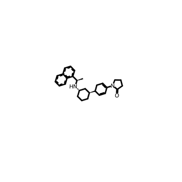 C[C@@H](N[C@H]1CCC[C@H](C2C=CC(N3CCCC3=O)=CC2)C1)c1cccc2ccccc12